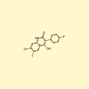 O=c1[nH]c2cc(Cl)c(I)cc2c(O)c1-c1ccc(F)cc1